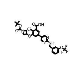 CC(C)(C)OC(=O)N1CC(Oc2cc(-c3cnc(NCc4cccc(OC(F)(F)F)c4)nc3)cc(C(=O)O)c2Cl)C1